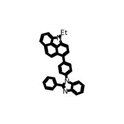 CCn1c2cccc3ccc4c(-c5ccc(-n6c(-c7ccccc7)nc7ccccc76)cc5)ccc1c4c32